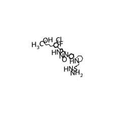 C[C@H](O)CCCc1cc(Cl)c(F)c(-c2cc3cn(-c4ccc([C@@H]5CCCC[C@@H](CCSC(=N)N)N5)cc4)c(=O)nc3[nH]2)c1